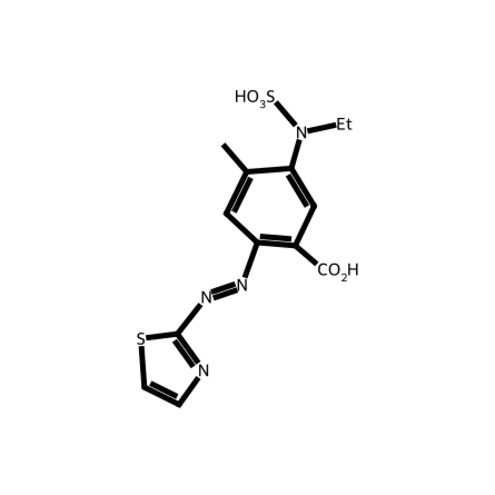 CCN(c1cc(C(=O)O)c(N=Nc2nccs2)cc1C)S(=O)(=O)O